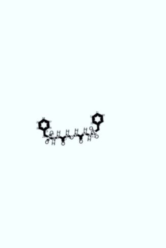 O=C(NNS(=O)(=O)Cc1ccccc1)NONC(=O)NNS(=O)(=O)Cc1ccccc1